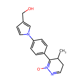 CC1CC=N[N+]([O-])=C1c1ccc(-n2ccc(CO)c2)cc1